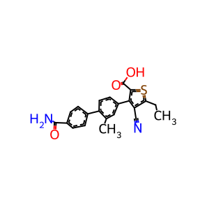 CCc1sc(C(=O)O)c(-c2ccc(-c3ccc(C(N)=O)cc3)c(C)c2)c1C#N